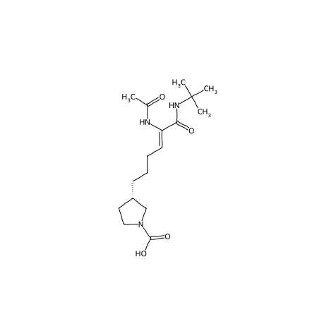 CC(=O)NC(=CCCC[C@H]1CCN(C(=O)O)C1)C(=O)NC(C)(C)C